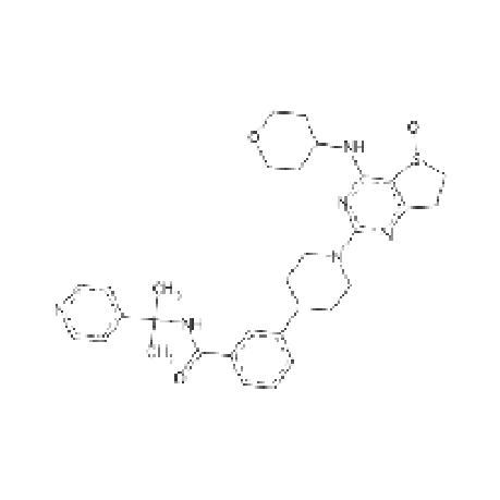 CC(C)(NC(=O)c1cccc(C2CCN(c3nc4c(c(NC5CCOCC5)n3)[S+]([O-])CC4)CC2)c1)c1ccncc1